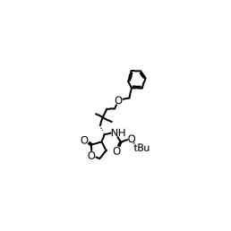 CC(C)(CCOCc1ccccc1)C[C@H](NC(=O)OC(C)(C)C)C1CCOC1=O